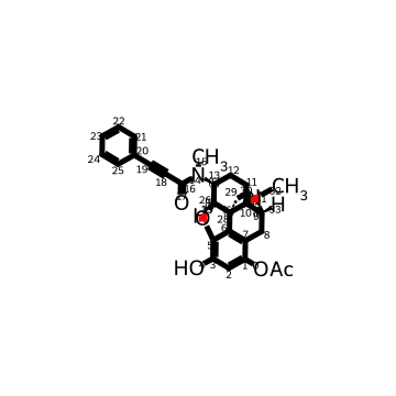 CC(=O)Oc1cc(O)c2c3c1C[C@@H]1[C@@H]4CC[C@H](N(C)C(=O)C#Cc5ccccc5)[C@H](O2)[C@]34CCN1C